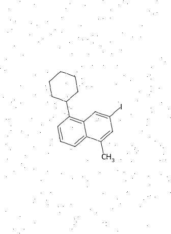 Cc1cc(I)cc2c(C3CCCCC3)cccc12